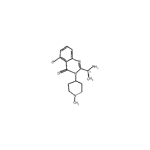 C[C@H](N)c1nc2cccc(Cl)c2c(=O)n1C1CCN(C)CC1